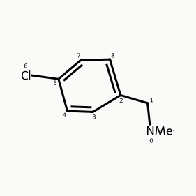 C[N]Cc1ccc(Cl)cc1